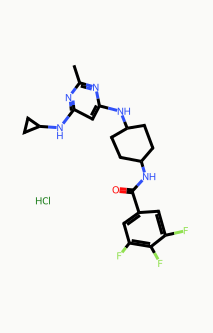 Cc1nc(NC2CCC(NC(=O)c3cc(F)c(F)c(F)c3)CC2)cc(NC2CC2)n1.Cl